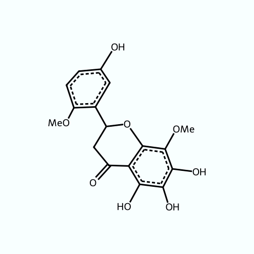 COc1ccc(O)cc1C1CC(=O)c2c(O)c(O)c(O)c(OC)c2O1